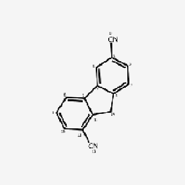 N#Cc1ccc2c(c1)-c1cccc(C#N)c1C2